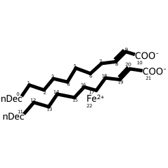 CCCCCCCCCCCCCCCCCC=CC(=O)[O-].CCCCCCCCCCCCCCCCCC=CC(=O)[O-].[Fe+2]